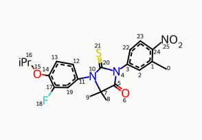 Cc1cc(N2C(=O)C(C)(C)N(c3ccc(OC(C)C)c(F)c3)C2=S)ccc1[N+](=O)[O-]